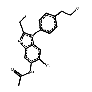 CCc1nc2cc(NC(C)=O)c(Cl)cc2n1-c1ccc(CCCl)cc1